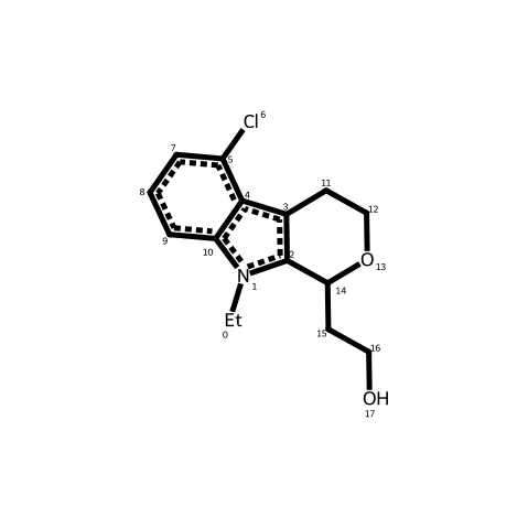 CCn1c2c(c3c(Cl)cccc31)CCOC2CCO